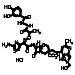 CC1=NC2=CN(CO)NN2C(SCC2(C(=O)O)CS[C@@H]3C(NC(=O)C(=NOC(C)C(=O)NNC(=O)c4ccc(O)c(O)c4)c4csc(N)n4)C(=O)N3C2)=C1.Cl